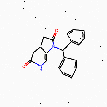 O=C1CC2CC(=O)N(C(c3ccccc3)c3ccccc3)C2=CN1